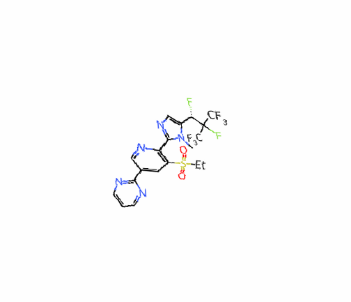 CCS(=O)(=O)c1cc(-c2ncccn2)cnc1-c1ncc([C@H](F)C(F)(C(F)(F)F)C(F)(F)F)n1C